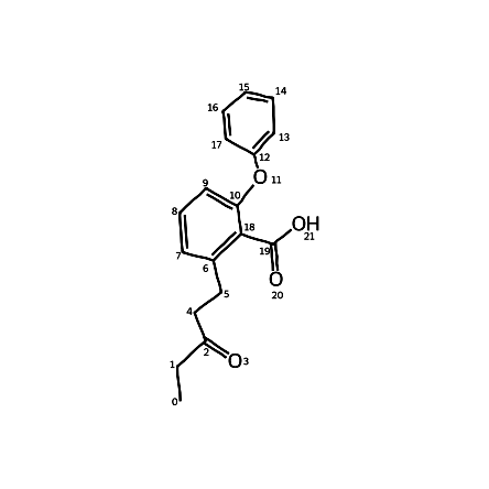 CCC(=O)CCc1cccc(Oc2ccccc2)c1C(=O)O